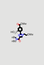 CCCCN(CCCC)C(=O)c1cn(CCOC)c(-c2ccc(C(=O)OC)cc2C(=O)O)n1